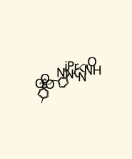 Cc1ccc(S(=O)(=O)OCc2cccc3c2nc(C(C)C)n3-c2cnc3c(c2)CC(=O)N3)cc1